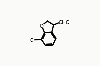 O=CC1COc2c(Cl)cccc21